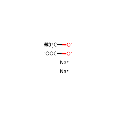 O=C([O-])O.O=C([O-])[O-].[Na+].[Na+].[Na+]